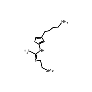 CSCC/N=C(/N)Nc1nc(CCCCN)cs1